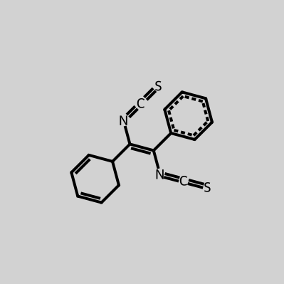 S=C=NC(=C(N=C=S)C1C=CC=CC1)c1ccccc1